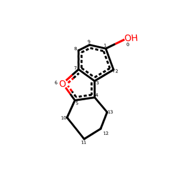 Oc1[c]c2c3c(oc2cc1)CCCC3